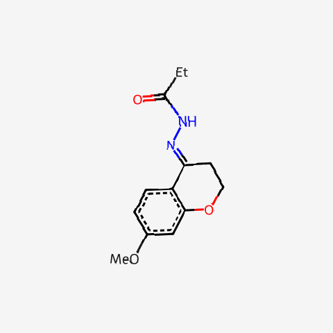 CCC(=O)N/N=C1\CCOc2cc(OC)ccc21